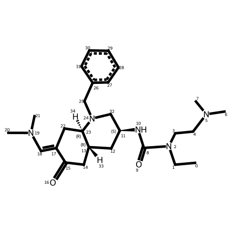 CCN(CCN(C)C)C(=O)N[C@H]1C[C@@H]2CC(=O)C(=CN(C)C)C[C@H]2N(Cc2ccccc2)C1